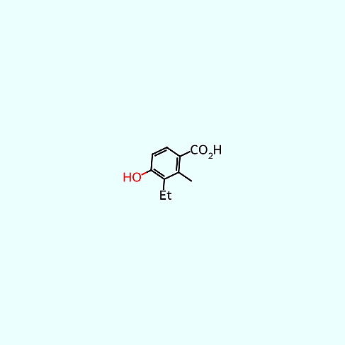 CCc1c(O)ccc(C(=O)O)c1C